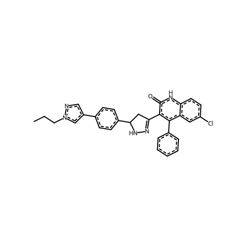 CCCn1cc(-c2ccc(C3CC(c4c(-c5ccccc5)c5cc(Cl)ccc5[nH]c4=O)=NN3)cc2)cn1